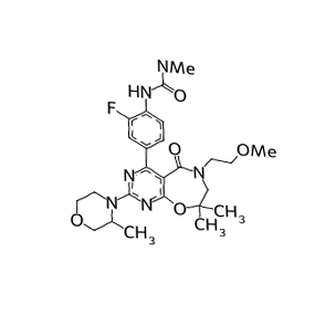 CNC(=O)Nc1ccc(-c2nc(N3CCOCC3C)nc3c2C(=O)N(CCOC)CC(C)(C)O3)cc1F